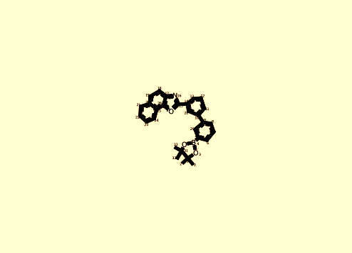 CC1(C)OB(c2cccc(-c3cccc(-c4nc5ccc6ccccc6c5o4)c3)c2)OC1(C)C